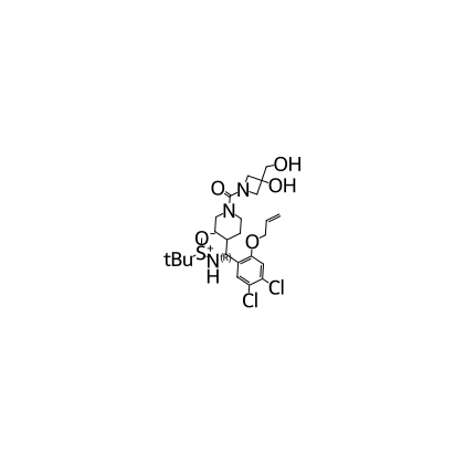 C=CCOc1cc(Cl)c(Cl)cc1[C@H](N[S+]([O-])C(C)(C)C)C1CCN(C(=O)N2CC(O)(CO)C2)CC1